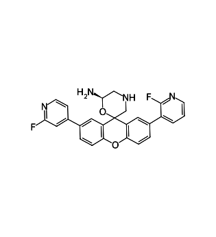 N[C@H]1CNCC2(O1)c1cc(-c3ccnc(F)c3)ccc1Oc1ccc(-c3cccnc3F)cc12